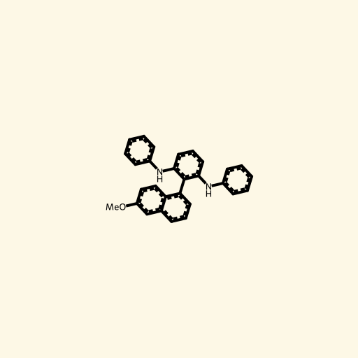 COc1ccc2c(-c3c(Nc4ccccc4)cccc3Nc3ccccc3)cccc2c1